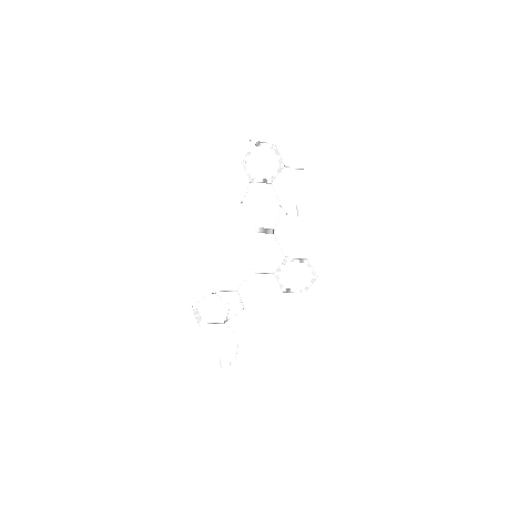 COC12C=CC(O1)C(Oc1ccccc1C(=O)Nc1c(Cl)cncc1Cl)C2